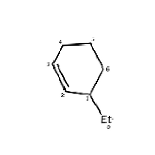 C[CH]C1C=CCCC1